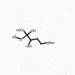 CCCCCCCCCCCC(O)C(O)(CCCCCCCC)SS